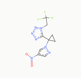 O=[N+]([O-])c1cnn(C2(c3nnnn3CC(F)(F)F)CC2)c1